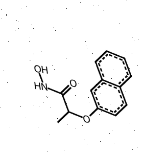 CC(Oc1ccc2ccccc2c1)C(=O)NO